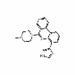 CN1CCN(c2nc3c(-c4nc[nH]n4)cccc3c3cnccc23)CC1